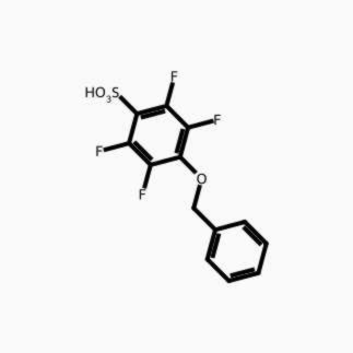 O=S(=O)(O)c1c(F)c(F)c(OCc2ccccc2)c(F)c1F